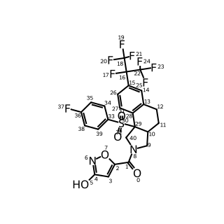 O=C(c1cc(O)no1)N1CC2CCc3cc(C(F)(C(F)(F)F)C(F)(F)F)ccc3C2(S(=O)(=O)c2ccc(F)cc2)C1